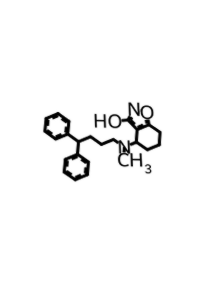 CN(CCCC(c1ccccc1)c1ccccc1)C1CCCc2onc(O)c21